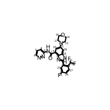 O=C(Nc1cccnn1)c1cc(N2CCOCC2)cc2[nH]c(-c3cc(F)ccc3C(F)F)nc12